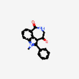 Cn1c(-c2ccccc2)c2c3c(cccc31)C(=O)NCC2=O